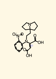 O=C(O)/C=C(/C(=O)O)N(CCC12CCCN1CCC2)c1ccccc1[N+](=O)[O-]